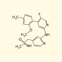 COc1cc(C)ccc1-c1cc(Nc2cc(CS(C)(=N)=O)ccn2)ncc1F